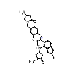 CN1CC(Nc2c(/C(N)=N/c3ccc(CN4CC(N)CC4=O)cc3Cl)cnn3cc(Br)cc23)CC1=O